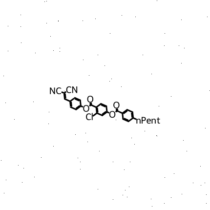 CCCCCc1ccc(C(=O)Oc2ccc(C(=O)Oc3ccc(C=C(C#N)C#N)cc3)c(Cl)c2)cc1